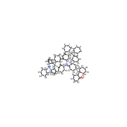 c1ccc2c(c1)-c1ccccc1C21c2ccccc2-c2c(N(c3ccc(-c4cccc5oc6ccccc6c45)cc3)c3cccc4c3-c3ccccc3C43c4ccccc4-n4c5ccccc5c5cccc3c54)cccc21